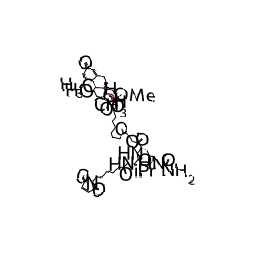 COCC(=O)[C@@]12OC(CCC3CCCC(COC(=O)[C@H](CCCNC(N)=O)NC(=O)C(NC(=O)CCCCCN4C(=O)C=CC4=O)C(C)C)O3)O[C@@H]1CC1[C@@H]3CCC4=CC(=O)C=C[C@]4(C)C3[C@@H](O)C[C@@]12C